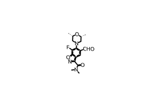 C[C@@H]1CN(c2c(C=O)cc3c(C(=O)N(C)C)noc3c2F)C[C@H](C)O1